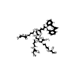 NC(=O)[C@H](CCCCNC(=O)CBr)NC(=O)[C@H](CCCCNC(=O)CBr)NC(=O)[C@H](CCCCNC(=O)CBr)NC(=O)CCC(=O)N1Cc2ccccc2C2=C(C2)c2ccccc21